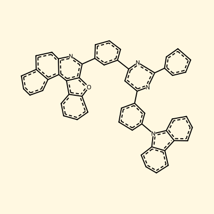 c1ccc(-c2nc(-c3cccc(-c4nc5ccc6ccccc6c5c5c4oc4ccccc45)c3)cc(-c3cccc(-n4c5ccccc5c5ccccc54)c3)n2)cc1